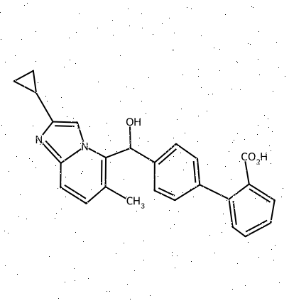 Cc1ccc2nc(C3CC3)cn2c1C(O)c1ccc(-c2ccccc2C(=O)O)cc1